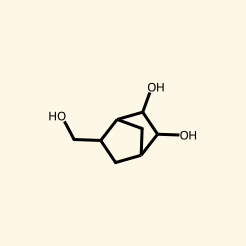 OCC1CC2CC1C(O)C2O